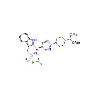 COC(OC)C1CCN(c2ncc([C@@H]3c4[nH]c5ccccc5c4C[C@@H](C)N3CC(F)F)cn2)CC1